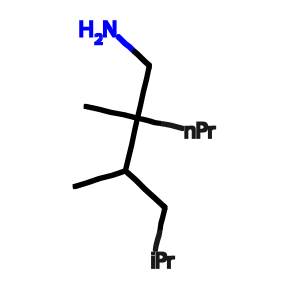 CCCC(C)(CN)C(C)CC(C)C